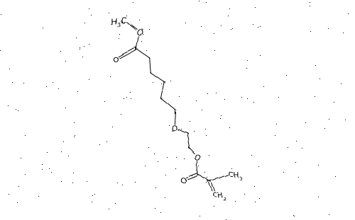 C=C(C)C(=O)OCCOCCCCCC(=O)OC